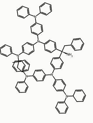 CC1(N(c2ccccc2)c2ccc(N(c3ccc(N(c4ccccc4)c4ccccc4)cc3)c3ccc([C@](N)(Cc4ccccc4)c4ccc(N(c5ccc(N(c6ccccc6)c6ccccc6)cc5)c5ccc(N(c6ccccc6)C6C=CC=CC6)cc5)cc4)cc3)cc2)C=CC=CC1